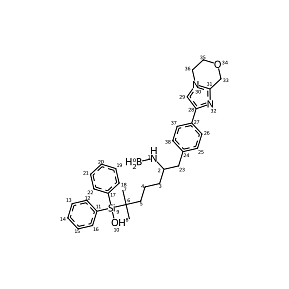 BNC(CCCC(C)(C)[Si](O)(c1ccccc1)c1ccccc1)Cc1ccc(-c2cn3c(n2)COCC3)cc1